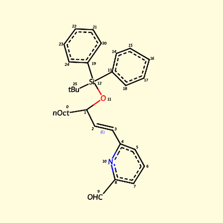 CCCCCCCCC(/C=C/c1cccc(C=O)n1)O[Si](c1ccccc1)(c1ccccc1)C(C)(C)C